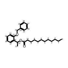 CCCCCCCCCCCC(=O)OC(C)c1ccccc1OCc1ccccc1